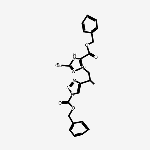 CC(C[n+]1nc(C(C)(C)C)[nH]c1C(=O)OCc1ccccc1)c1cn(C(=O)OCc2ccccc2)nn1